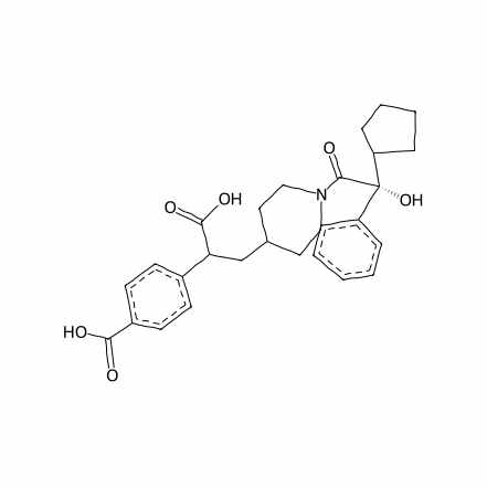 O=C(O)c1ccc(C(CC2CCN(C(=O)[C@](O)(c3ccccc3)C3CCCC3)CC2)C(=O)O)cc1